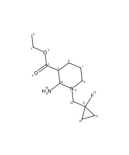 CCOC(=O)C1CCCN(CC2(F)CC2)C1N